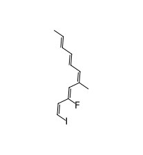 C/C=C/C=C/C=C(C)\C=C(F)\C=C/I